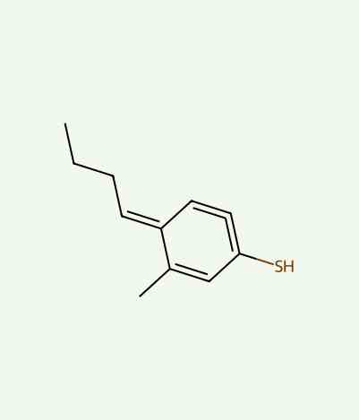 CCCC=C1C=C=C(S)C=C1C